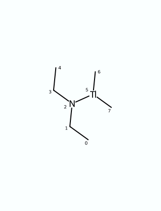 CC[N](CC)[Tl]([CH3])[CH3]